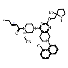 CCC1(COc2nc3c(c(N4CCN(C(=O)/C=C/CF)[C@@H](CC#N)C4)n2)CCN(c2cccc4cccc(Cl)c24)C3)CCCN1C